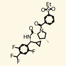 CCS(=O)(=O)c1cccc(C(=O)N2C[C@H](C)C[C@@H]2C(=O)N[C@@H](c2cc(F)c(C(F)F)cc2F)C2CC2)c1